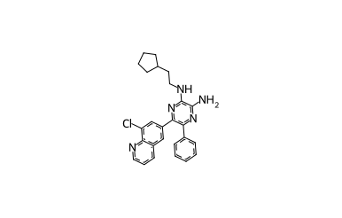 Nc1nc(-c2ccccc2)c(-c2cc(Cl)c3ncccc3c2)nc1NCCC1CCCC1